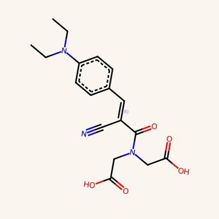 CCN(CC)c1ccc(/C=C(\C#N)C(=O)N(CC(=O)O)CC(=O)O)cc1